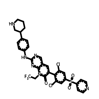 O=c1c(-c2c(Cl)cc(S(=O)(=O)c3ccncc3)cc2Cl)cc2cnc(Nc3ccc(C4CCCNC4)cc3)nc2n1CC(F)(F)F